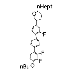 CCCCCCCC1CCC(c2ccc(-c3ccc(-c4ccc(OCCCC)c(F)c4F)cc3)c(F)c2)CO1